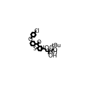 CC(C)(C)OC(=O)NC(CO)(CO)CCc1ccc2sc3ccc(Oc4ccc(Cl)cc4)cc3c(=O)c2c1